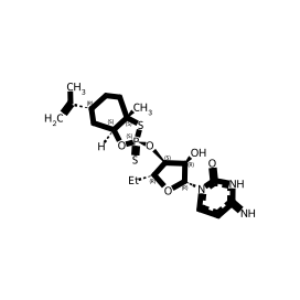 C=C(C)[C@@H]1CC[C@]2(C)S[P@@](=S)(O[C@H]3[C@@H](O)[C@H](n4ccc(=N)[nH]c4=O)O[C@@H]3CC)O[C@H]2C1